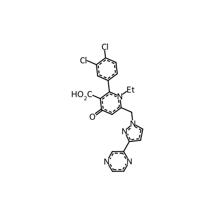 CCn1c(Cn2ccc(-c3cnccn3)n2)cc(=O)c(C(=O)O)c1-c1ccc(Cl)c(Cl)c1